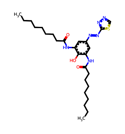 CCCCCCCCC(=O)Nc1cc(N=Nc2nncs2)cc(NC(=O)CCCCCCCC)c1O